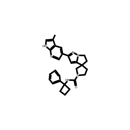 Cc1c[nH]c2ncc(-c3cc4n(n3)CCC43CCN(C(=O)NC4(c5ccccc5)CCC4)C3)cc12